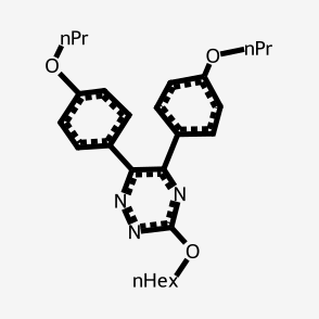 CCCCCCOc1nnc(-c2ccc(OCCC)cc2)c(-c2ccc(OCCC)cc2)n1